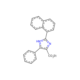 CCOC(=O)c1nc(-c2cccc3ccccc23)[nH]c1-c1ccccc1